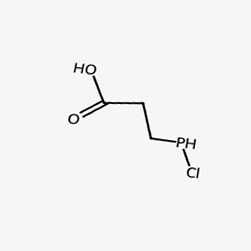 O=C(O)CCPCl